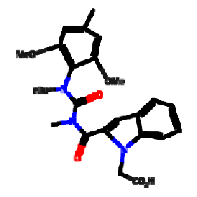 CCCCN(C(=O)N(C)C(=O)c1cc2ccccc2n1CC(=O)O)c1c(OC)cc(C)cc1OC